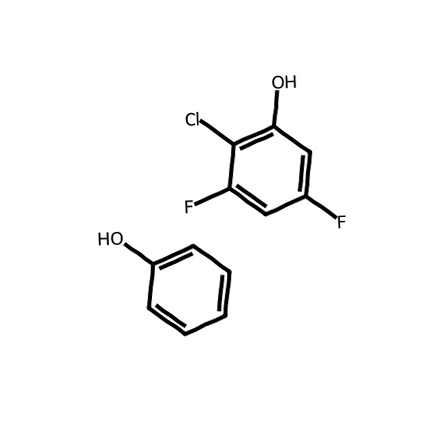 Oc1cc(F)cc(F)c1Cl.Oc1ccccc1